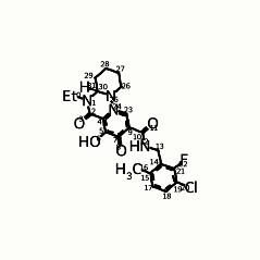 CCN1C(=O)c2c(O)c(=O)c(C(=O)NCc3c(C)ccc(Cl)c3F)cn2N2CCCC[C@@H]12